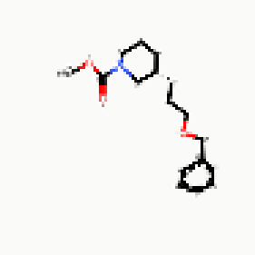 CC(C)(C)OC(=O)N1CCC[C@H](CCCOCc2ccccc2)C1